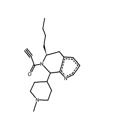 C#CC(=O)N1C(C2CCN(C)CC2)c2ncccc2C[C@@H]1CCCC